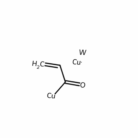 C=C[C](=O)[Cu].[Cu].[W]